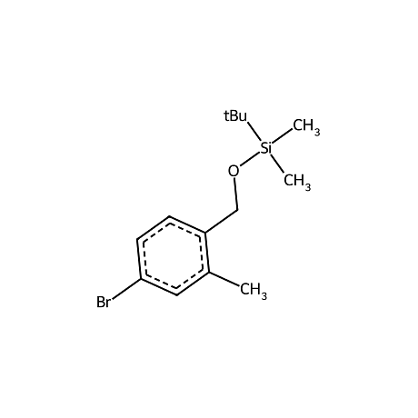 Cc1cc(Br)ccc1CO[Si](C)(C)C(C)(C)C